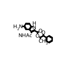 CC(=O)Nc1c(C(=O)OC(C)C(=O)c2ccccc2)[nH]c2ccc(N)cc12